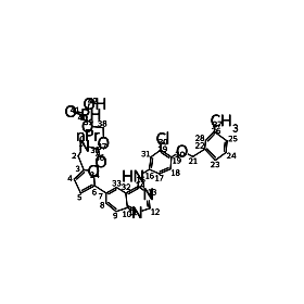 CCCN(Cc1ccc(-c2ccc3ncnc(Nc4ccc(OCc5cccc(C)c5)c(Cl)c4)c3c2)o1)C(=O)OCO[PH](=O)O